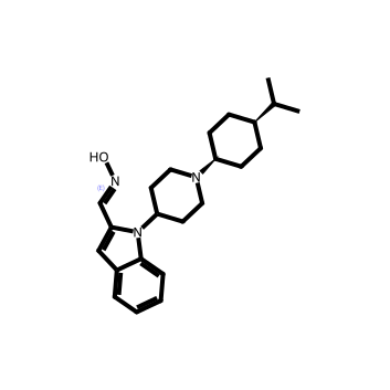 CC(C)[C@H]1CC[C@@H](N2CCC(n3c(/C=N/O)cc4ccccc43)CC2)CC1